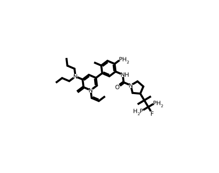 C=C1C(N(CCC)CCC)=CC(c2cc(NC(=O)N3CCC(C(C)(C)C(F)(P)P)C3)c(P)cc2C)=CN1/C=C\C